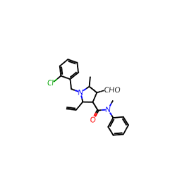 C=CC1C(C(=O)N(C)c2ccccc2)C(C=O)C(C)N1Cc1ccccc1Cl